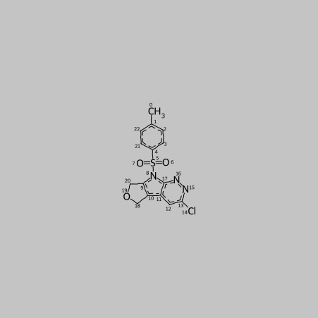 Cc1ccc(S(=O)(=O)n2c3c(c4cc(Cl)nnc42)COC3)cc1